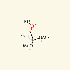 CCOCC(OC)OC.N